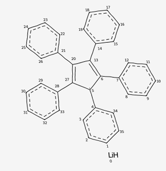 [LiH].c1ccc([C]2C(c3ccccc3)=C(c3ccccc3)C(c3ccccc3)=C2c2ccccc2)cc1